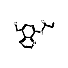 CCC(=O)Oc1ccc(CCl)c2cccnc12